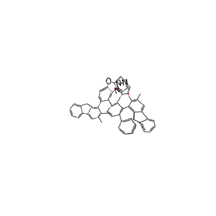 Cc1cc2c(c(-c3ccc4oc5ccccc5c4c3-c3ccc(-c4ccccc4)c(-c4c(C)c(C)cc5c4Cc4ccccc4-5)c3-c3ccnnn3)c1C)Cc1ccccc1-2